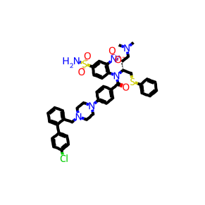 CN(C)CC[C@H](CSc1ccccc1)N(C(=O)c1ccc(N2CCN(Cc3ccccc3-c3ccc(Cl)cc3)CC2)cc1)c1ccc(S(N)(=O)=O)cc1[N+](=O)[O-]